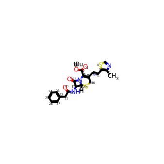 Cc1ncsc1/C=C/C1=C(C(=O)OC(C)(C)C)N2C(=O)C(NC(=O)Cc3ccccc3)[C@H]2SC1